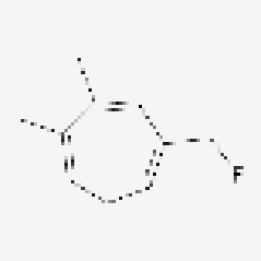 CC1=CCC=C(CF)C=C1C